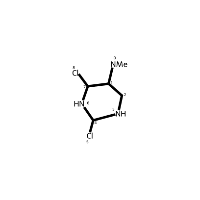 CNC1CNC(Cl)NC1Cl